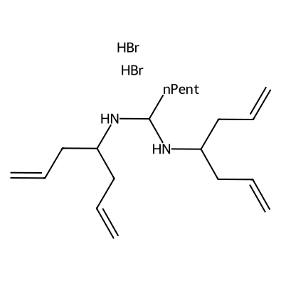 Br.Br.C=CCC(CC=C)NC(CCCCC)NC(CC=C)CC=C